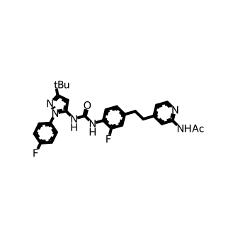 CC(=O)Nc1cc(CCc2ccc(NC(=O)Nc3cc(C(C)(C)C)nn3-c3ccc(F)cc3)c(F)c2)ccn1